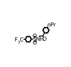 CCCc1ccc(C(=O)CNS(=O)(=O)c2ccc(C(F)(F)F)cc2)cc1